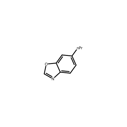 [CH2]CCc1ccc2ncoc2c1